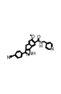 COc1cc2c(cc1C(=O)NCc1ccncc1)-c1[nH]nc(-c3ccc(C#N)cc3)c1C2